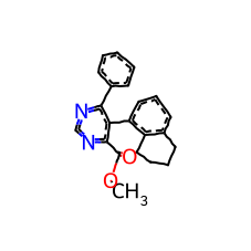 COC(=O)c1ncnc(-c2ccccc2)c1-c1cccc2c1CCCC2